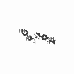 O=C(Nc1ccc(-c2ccnc(Nc3cnn(C4CCNCC4)c3)n2)cc1)C1CC1